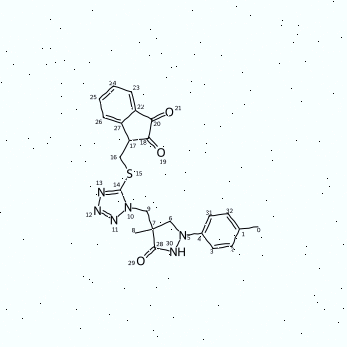 Cc1ccc(N2CC(C)(Cn3nnnc3SCC3C(=O)C(=O)c4ccccc43)C(=O)N2)cc1